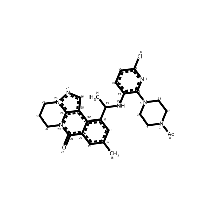 CC(=O)N1CCN(c2nc(Cl)ccc2NC(C)c2cc(C)cc3c(=O)n4c5c(cnn5CCC4)c23)CC1